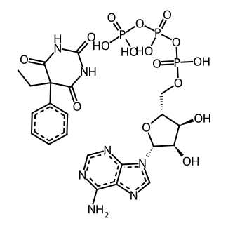 CCC1(c2ccccc2)C(=O)NC(=O)NC1=O.Nc1ncnc2c1ncn2[C@@H]1O[C@H](COP(=O)(O)OP(=O)(O)OP(=O)(O)O)[C@@H](O)[C@H]1O